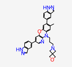 Cc1cc2c(cc1-c1ccc3[nH]ncc3c1)Oc1cc(-c3ccc4[nH]ncc4c3)cnc1N2CCCN1CC2(COC2)C1